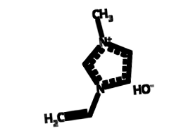 C=Cn1cc[n+](C)c1.[OH-]